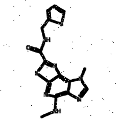 CNc1nc2sc(C(=O)NCc3cccs3)nc2c2c1ncn2C